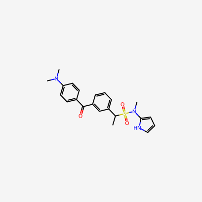 CC(c1cccc(C(=O)c2ccc(N(C)C)cc2)c1)S(=O)(=O)N(C)c1ccc[nH]1